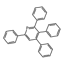 c1ccc(-c2cc(-c3ccccc3)c(-c3ccccc3)c(-c3ccccc3)p2)cc1